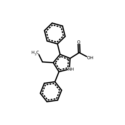 CCc1c(-c2ccccc2)[nH]c(C(=O)O)c1-c1ccccc1